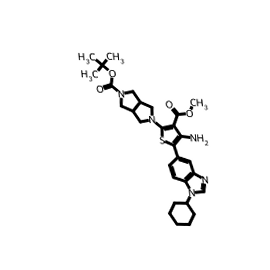 COC(=O)c1c(N2CC3CN(C(=O)OC(C)(C)C)CC3C2)sc(-c2ccc3c(c2)ncn3C2CCCCC2)c1N